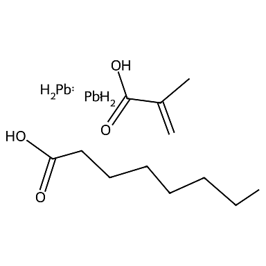 C=C(C)C(=O)O.CCCCCCCC(=O)O.[PbH2].[PbH2]